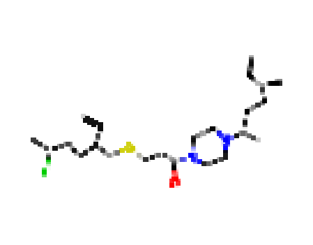 C=CC(CCC(C)Cl)CSCCC(=O)N1CCN(C(C)CC[C@H](C)C=C)CC1